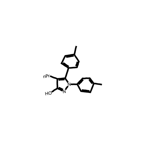 CCCc1c(O)nn(-c2ccc(C)cc2)c1-c1ccc(C)cc1